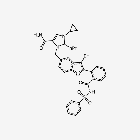 CCCC1N(Cc2ccc3oc(-c4ccccc4C(=O)NS(=O)(=O)c4ccccc4)c(Br)c3c2)C(C(N)=O)=CN1C1CC1